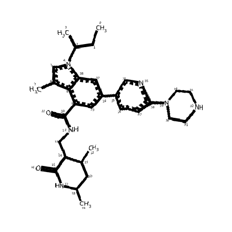 CCC(C)n1cc(C)c2c(C(=O)NCC3C(=O)NC(C)CC3C)cc(-c3ccc(N4CCNCC4)nc3)cc21